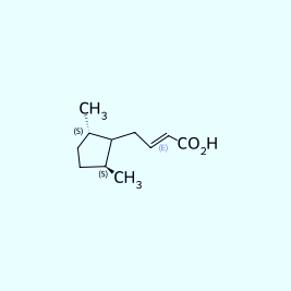 C[C@H]1CC[C@H](C)C1C/C=C/C(=O)O